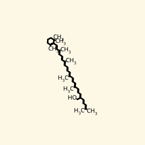 CC(C)=C/C=C/C(=C/C=C/C(C)=C/C=C/C(C)=C/C=C/C=C(C)/C=C/C=C(C)/C=C/C1=C(C)CCCC1(C)C)CO